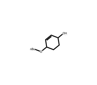 CCCCOC1C=CC(O)CC1